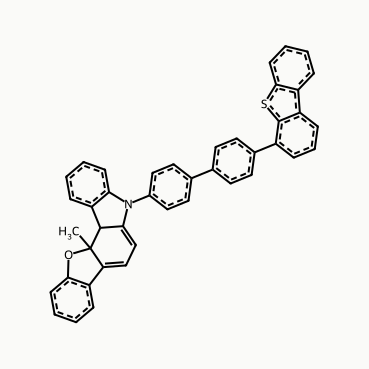 CC12Oc3ccccc3C1=CC=C1C2c2ccccc2N1c1ccc(-c2ccc(-c3cccc4c3sc3ccccc34)cc2)cc1